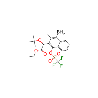 Bc1c(C)c([C@H](OC(C)(C)C)C(=O)OCC)c(OS(=O)(=O)C(F)(F)F)c2ccccc12